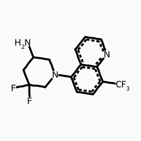 NC1CN(c2ccc(C(F)(F)F)c3ncccc23)CC(F)(F)C1